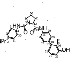 CC(C)c1ccc(NC(=O)N2CCC[C@@H]2C(=O)Nc2ccc(-c3cccc(O)c3F)cc2)cc1